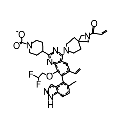 C=CC(=O)N1CC2(CCN(c3nc(C4CCN(C(=O)OC)CC4)nc4c(OCC(F)F)c(-c5c(C)ccc6[nH]ncc56)c(C=C)cc34)CC2)C1